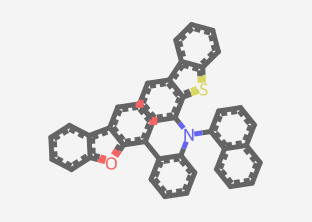 c1ccc(N(c2cccc3ccccc23)c2cccc3c2sc2ccccc23)c(-c2cccc3c2oc2ccccc23)c1